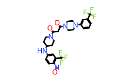 O=Nc1ccc(NC2CCN(C(=O)CC(=O)N3CCN(c4cccc(C(F)(F)F)c4)CC3)CC2)cc1C(F)(F)F